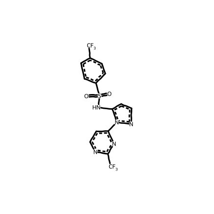 O=S(=O)(Nc1ccnn1-c1ccnc(C(F)(F)F)n1)c1ccc(C(F)(F)F)cc1